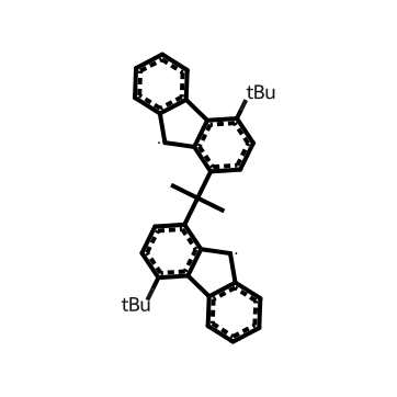 CC(C)(C)c1ccc(C(C)(C)c2ccc(C(C)(C)C)c3c2[CH]c2ccccc2-3)c2c1-c1ccccc1[CH]2